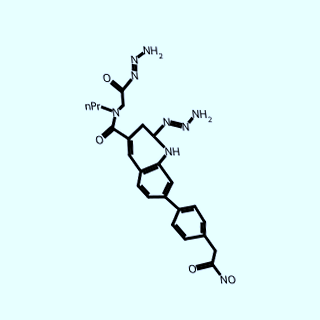 CCCN(CC(=O)N=NN)C(=O)C1=Cc2ccc(-c3ccc(CC(=O)N=O)cc3)cc2NC(N=NN)C1